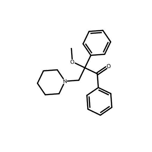 COC(CN1CCCCC1)(C(=O)c1ccccc1)c1ccccc1